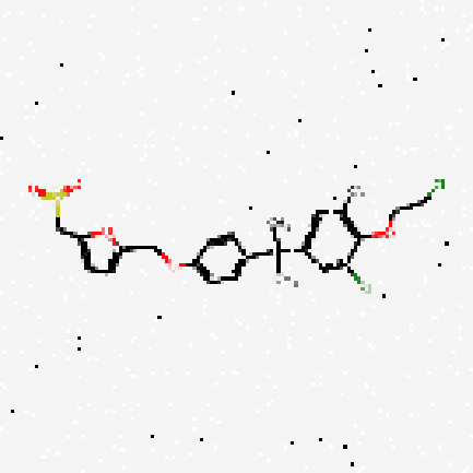 CC(C)(c1ccc(OCc2ccc(C[SH](=O)=O)o2)cc1)c1cc(Cl)c(OCCCl)c(C#N)c1